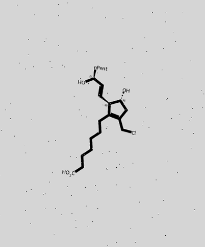 CCCCC[C@H](O)C=C[C@@H]1C(CCCCCCC(=O)O)=C(CCl)C[C@H]1O